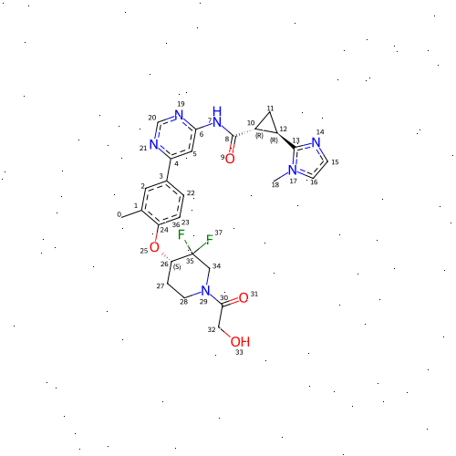 Cc1cc(-c2cc(NC(=O)[C@@H]3C[C@H]3c3nccn3C)ncn2)ccc1O[C@H]1CCN(C(=O)CO)CC1(F)F